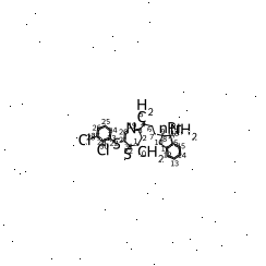 C=C1CC(C(=C)CCC2(CCC)Cc3ccccc3[C@H]2N)=NC=C(Sc2cccc(Cl)c2Cl)C1=S